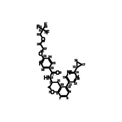 O=C(N[C@@H]1COc2cccc(-c3cnc(C4CC4)nc3)c2C1)c1ccc(OCCOCC(F)(F)F)nc1